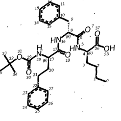 CCCC[C@@H](NC(=O)[C@@H](Cc1ccccc1)NC(=O)[C@@H](CCc1ccccc1)NC(=O)OC(C)(C)C)C(=O)O